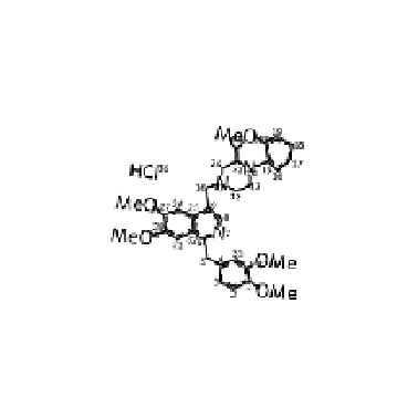 COc1ccc(Cc2ncc(CN3CCN(c4ccccc4OC)C(=O)C3)c3cc(OC)c(OC)cc23)cc1OC.Cl